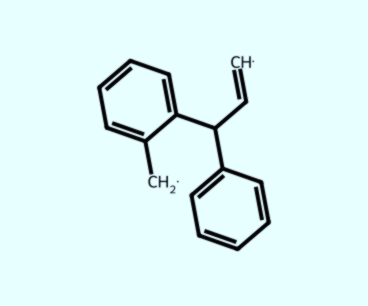 [CH]=CC(c1ccccc1)c1ccccc1[CH2]